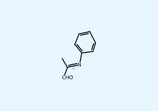 C/C(C=O)=N\c1ccccc1